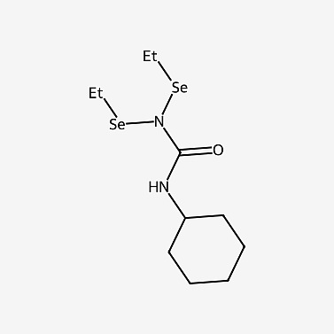 CC[Se]N([Se]CC)C(=O)NC1CCCCC1